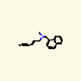 CC#C/C=C/CN(C)Cc1cccc2ccccc12